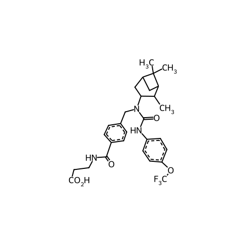 CC1C(N(Cc2ccc(C(=O)NCCC(=O)O)cc2)C(=O)Nc2ccc(OC(F)(F)F)cc2)CC2CC1C2(C)C